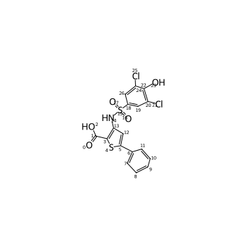 O=C(O)c1sc(-c2ccccc2)cc1NS(=O)(=O)c1cc(Cl)c(O)c(Cl)c1